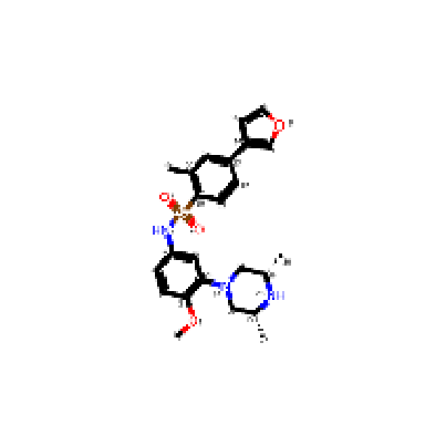 COc1ccc(NS(=O)(=O)c2ccc(-c3ccoc3)cc2C)cc1N1C[C@@H](C)N[C@@H](C)C1